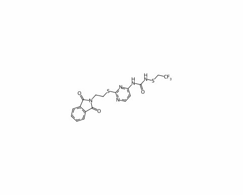 O=C(NSCC(F)(F)F)Nc1ccnc(SCCN2C(=O)c3ccccc3C2=O)n1